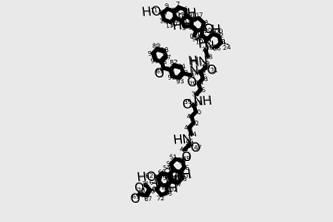 CC1=C2C[C@H]3[C@@H](CC=C4C[C@@H](O)CC[C@@]43C)[C@@H]2CCC12O[C@@H]1C[C@H](C)CN(CCNC(=O)C(CCCCNC(=O)CCCCCNC(=O)CO[C@H]3CC[C@@]4(C)[C@H](CC[C@@H]5[C@@H]4C[C@@H](O)[C@]4(C)[C@@H](C6=CC(=O)OC6)CC[C@]54O)C3)NC(=O)c3ccc(C(=O)c4ccccc4)cc3)[C@H]1[C@H]2C